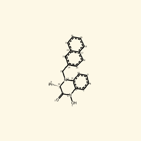 CC(C)[C@H]1C(=O)N(O)c2ccccc2N1Cc1ccc2ccccc2c1